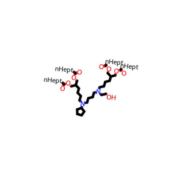 CCCCCCCC(=O)OCC(CCCCN(CCO)CCCCN(CCCCC(COC(=O)CCCCCCC)COC(=O)CCCCCCC)C1CCCC1)COC(=O)CCCCCCC